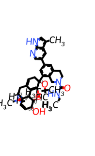 CCNC(=O)N1CCc2cc(-c3cnc4[nH]cc(C)c4c3)cc([C@]3(OC(C)(C)C)CC=C4C[C@@H]5[C@@H]6C=C[C@H](O)[C@@H]7OC3=C4[C@]67CCN5C)c2C1